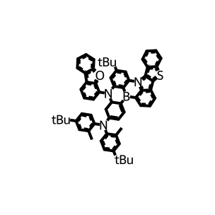 Cc1cc(C(C)(C)C)ccc1N(C1=CC=C2B3c4c(cc(C(C)(C)C)cc4-n4c5c3cccc5c3sc5ccccc5c34)N(c3cccc4c3oc3ccccc34)C2C1)c1ccc(C(C)(C)C)cc1C